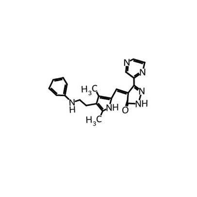 Cc1[nH]c(C=C2C(=O)NN=C2c2cnccn2)c(C)c1CCNc1ccccc1